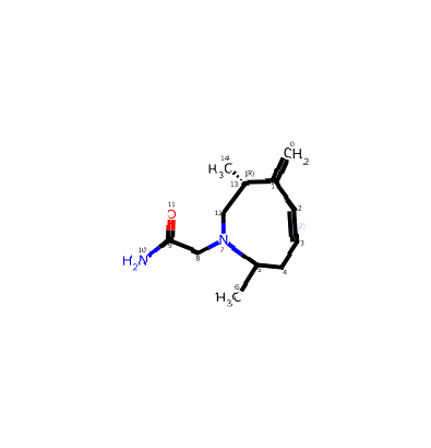 C=C1/C=C\CC(C)N(CC(N)=O)C[C@@H]1C